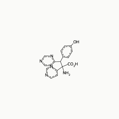 NC(C(=O)O)(c1ccncn1)C(c1ccc(O)cc1)c1ccncn1